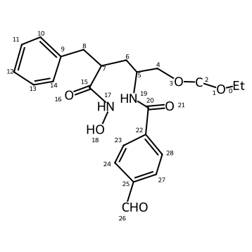 CCOCOCC(CC(Cc1ccccc1)C(=O)NO)NC(=O)c1ccc(C=O)cc1